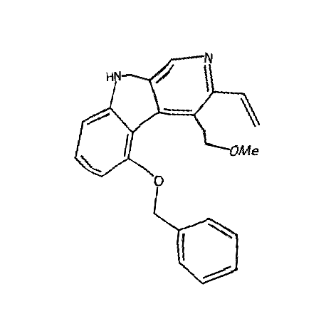 C=Cc1ncc2[nH]c3cccc(OCc4ccccc4)c3c2c1COC